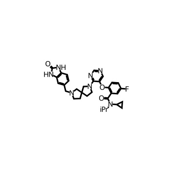 CC(C)N(C(=O)c1cc(F)ccc1Oc1cncnc1N1CCC2(CCN(Cc3ccc4[nH]c(=O)[nH]c4c3)C2)C1)C1CC1